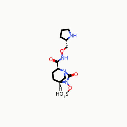 O=C(NOC[C@@H]1CCCN1)[C@@H]1CC[C@@H]2CN1C(=O)N2OS(=O)(=O)O